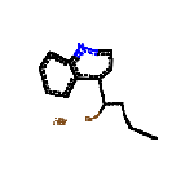 Br.CCCC(Br)c1ccnc2ccccc12